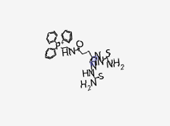 NC(=S)N/N=C(\C=N\NC(N)=S)CCC(=O)NCC[P+](c1ccccc1)(c1ccccc1)c1ccccc1